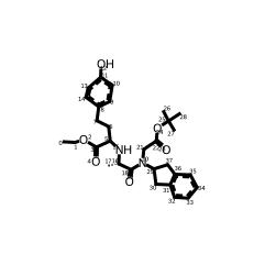 CCOC(=O)C(CCc1ccc(O)cc1)N[C@@H](C)C(=O)N(CC(=O)OC(C)(C)C)C1Cc2ccccc2C1